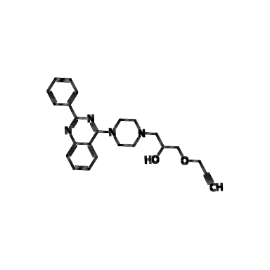 C#CCOCC(O)CN1CCN(c2nc(-c3ccccc3)nc3ccccc23)CC1